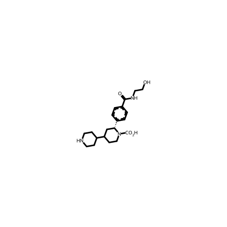 O=C(NCCO)c1ccc([C@H]2CC(C3CCNCC3)CCN2C(=O)O)cc1